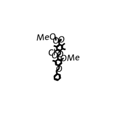 COCOC(=O)c1c(C)c(C)c(OC(=O)c2c(C)cc(OCc3ccccc3)cc2OC)c(Cl)c1C